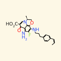 C/C=C\c1ccc(CCCNc2c(F)c(N)c3c(=O)c(C(=O)O)cn4c3c2OC[C@@H]4C)cc1